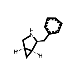 c1ccc(C[C@@H]2NC[C@@H]3C[C@@H]32)cc1